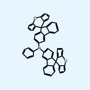 c1ccc(N(c2ccc3c(c2)-c2ccccc2C32c3ccccc3Oc3ccccc32)c2ccc3c(c2)-c2ccccc2C32c3ccccc3Oc3ccccc32)cc1